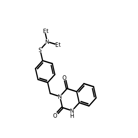 CCN(CC)Sc1ccc(Cn2c(=O)[nH]c3ccccc3c2=O)cc1